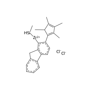 CC1=C(C)C(C)C(c2ccc3c([c]2[Zr+2][SiH](C)C)Cc2ccccc2-3)=C1C.[Cl-].[Cl-]